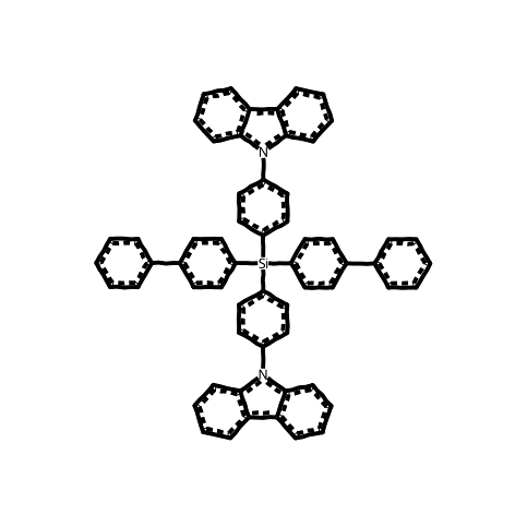 c1ccc(-c2ccc([Si](c3ccc(-c4ccccc4)cc3)(c3ccc(-n4c5ccccc5c5ccccc54)cc3)c3ccc(-n4c5ccccc5c5ccccc54)cc3)cc2)cc1